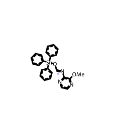 COc1nccnc1/N=C/[O][Sn]([c]1ccccc1)([c]1ccccc1)[c]1ccccc1